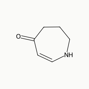 O=C1C=CNCCC1